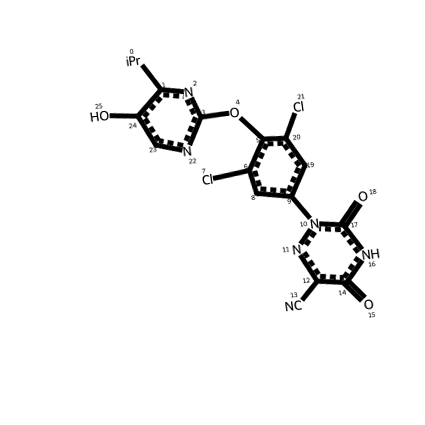 CC(C)c1nc(Oc2c(Cl)cc(-n3nc(C#N)c(=O)[nH]c3=O)cc2Cl)ncc1O